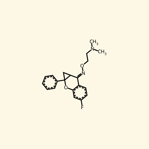 CN(C)CCON=C1c2ccc(F)cc2OC2(c3ccccc3)CC12